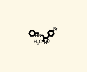 Cc1noc(-c2ccc(Br)cc2)c1CNCC1CCCCC1